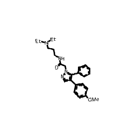 CCN(CC)CCCNC(=O)Cn1ncc(-c2ccc(OC)cc2)c1-c1ccccc1